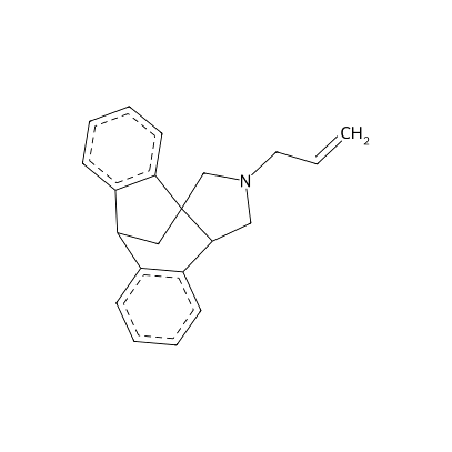 C=CCN1CC2c3ccccc3C3CC2(C1)c1ccccc13